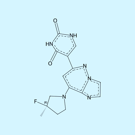 C[C@@]1(F)CCN(c2cc(-c3c[nH]c(=O)[nH]c3=O)nn3ccnc23)C1